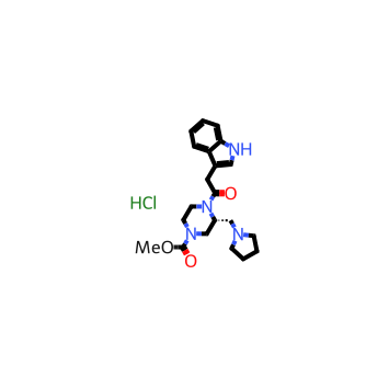 COC(=O)N1CCN(C(=O)Cc2c[nH]c3ccccc23)[C@H](CN2CCCC2)C1.Cl